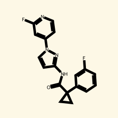 O=C(Nc1ccn(-c2ccnc(F)c2)n1)C1(c2cccc(F)c2)CC1